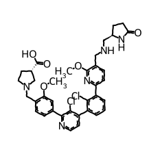 COc1cc(-c2nccc(-c3cccc(-c4ccc(CNC[C@H]5CCC(=O)N5)c(OC)n4)c3Cl)c2Cl)ccc1CN1CC[C@H](C(=O)O)C1